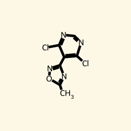 Cc1nc(-c2c(Cl)ncnc2Cl)no1